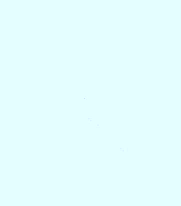 CN(C(=O)c1ccccc1-c1ccccc1)[C@@H](C(N)=O)C1CC1